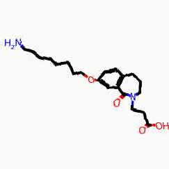 NCCCCCCCCOc1ccc2c(c1)C(=O)N(CCC(=O)O)CCC2